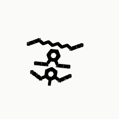 Cc1c(N=C=O)cccc1N=C=O.O=C=NCCCCCCN=C=O.O=C=Nc1ccccc1N=C=O